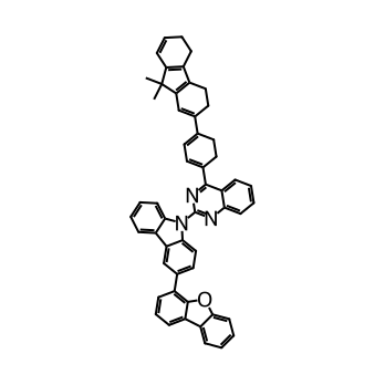 CC1(C)C2=C(CCC=C2)C2=C1C=C(C1=CC=C(c3nc(-n4c5ccccc5c5cc(-c6cccc7c6oc6ccccc67)ccc54)nc4ccccc34)CC1)CC2